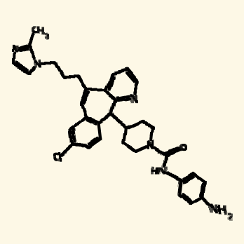 Cc1nccn1CCCC1=Cc2cc(Cl)ccc2C(C2CCN(C(=O)Nc3ccc(N)cc3)CC2)c2ncccc21